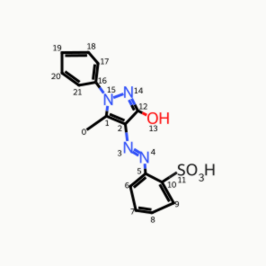 Cc1c(/N=N/c2ccccc2S(=O)(=O)O)c(O)nn1-c1ccccc1